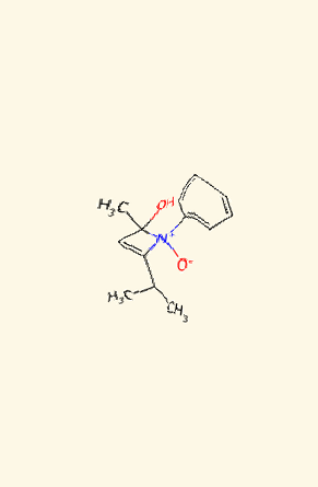 CC(C)C1=CC(C)(O)[N+]1([O-])c1ccccc1